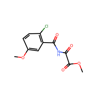 COC(=O)C(=O)NC(=O)c1cc(OC)ccc1Cl